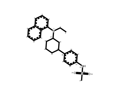 CCN(c1cccc2ccccc12)C1CCCC(c2ccc(NS(C)(=O)=O)cc2)C1